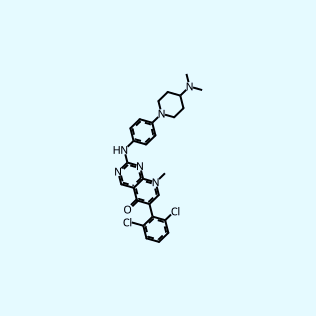 CN(C)C1CCN(c2ccc(Nc3ncc4c(=O)c(-c5c(Cl)cccc5Cl)cn(C)c4n3)cc2)CC1